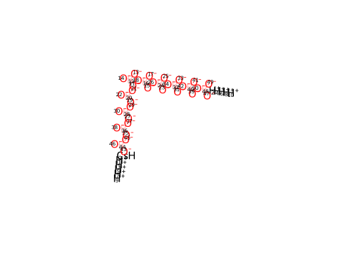 [CsH].[H+].[H+].[H+].[H+].[H+].[H+].[H+].[H+].[H+].[H+].[O-]B([O-])[O-].[O-]B([O-])[O-].[O-]B([O-])[O-].[O-]B([O-])[O-].[O-]B([O-])[O-].[O-]B([O-])[O-].[O-]B([O-])[O-].[O-]B([O-])[O-].[O-]B([O-])[O-].[O-]B([O-])[O-]